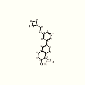 CN1c2ccc(-c3cncc(OC[C@@H]4CCN4)c3)cc2CCC1C=O